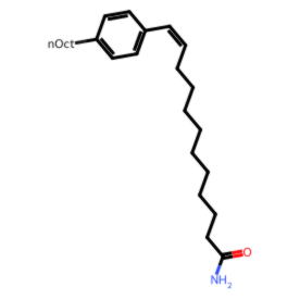 CCCCCCCCc1ccc(/C=C\CCCCCCCCCC(N)=O)cc1